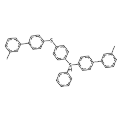 Cc1cccc(-c2ccc(Sc3ccc([SH](c4ccccc4)c4ccc(-c5cccc(C)c5)cc4)cc3)cc2)c1